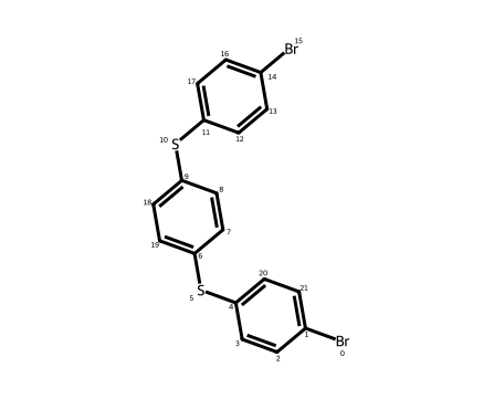 Brc1ccc(Sc2ccc(Sc3ccc(Br)cc3)cc2)cc1